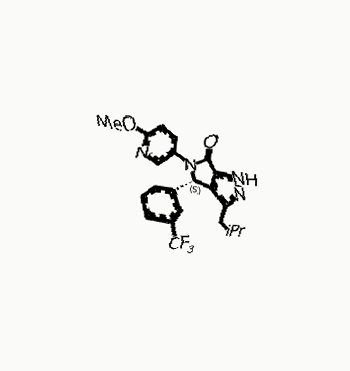 COc1ccc(N2C(=O)c3[nH]nc(CC(C)C)c3[C@@H]2c2cccc(C(F)(F)F)c2)cn1